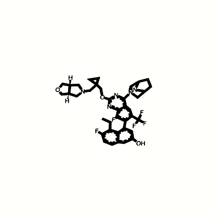 CCc1c(F)ccc2cc(O)cc(-c3c(C(F)(F)F)cc4c(N5CC6CCC(C5)N6)nc(OCC5(CN6C[C@H]7COC[C@@H]7C6)CC5)nc4c3F)c12